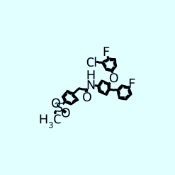 CCS(=O)(=O)c1ccc(CC(=O)Nc2ccc(-c3cccc(F)c3)c(Oc3ccc(F)c(Cl)c3)c2)cc1